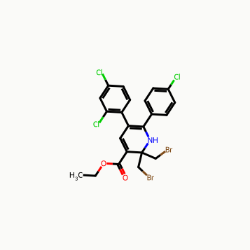 CCOC(=O)C1=CC(c2ccc(Cl)cc2Cl)=C(c2ccc(Cl)cc2)NC1(CBr)CBr